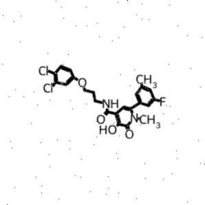 Cc1cc(F)cc(-c2cc(C(=O)NCCCOc3ccc(Cl)c(Cl)c3)c(O)c(=O)n2C)c1